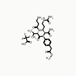 COC(=O)Cc1ccc(N(C(=O)[C@@H](NC(=O)CCN)C(C)C)[C@@H](CCCNC(N)=O)C(N)=O)cc1.O=C(O)C(F)(F)F